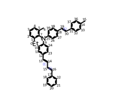 CCc1cccc(C)c1N(c1ccc(/C=C/C=C/c2ccccc2)cc1)c1ccc(/C=C/c2ccc(C)cc2)cc1